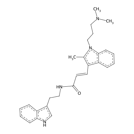 Cc1c(/C=C/C(=O)NCCc2c[nH]c3ccccc23)c2ccccc2n1CCCN(C)C